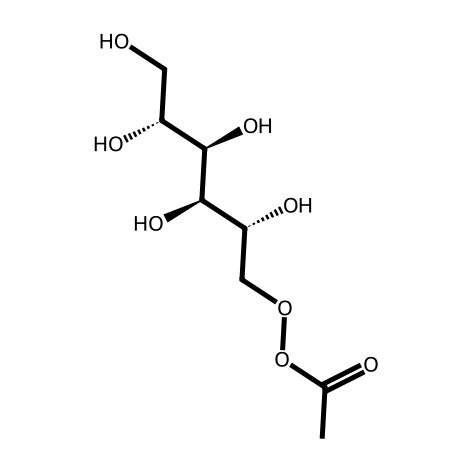 CC(=O)OOC[C@@H](O)[C@@H](O)[C@H](O)[C@H](O)CO